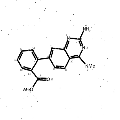 CNc1nc(N)nc2cc(-c3ccccc3C(=O)OC)ccc12